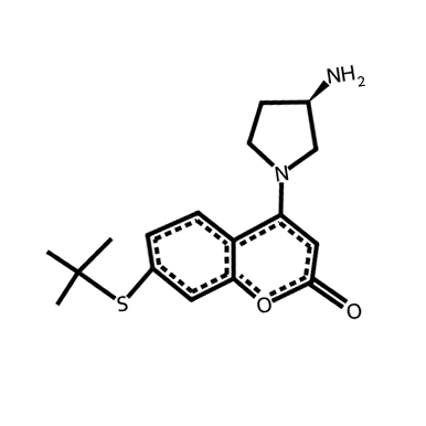 CC(C)(C)Sc1ccc2c(N3CC[C@@H](N)C3)cc(=O)oc2c1